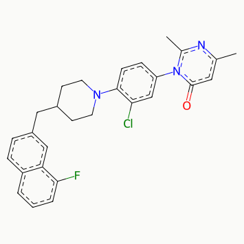 Cc1cc(=O)n(-c2ccc(N3CCC(Cc4ccc5cccc(F)c5c4)CC3)c(Cl)c2)c(C)n1